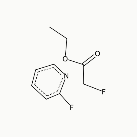 CCOC(=O)CF.Fc1ccccn1